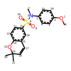 COc1ccc(N(C)S(=O)(=O)c2ccc3c(c2)C=CC(C)(C)O3)cc1